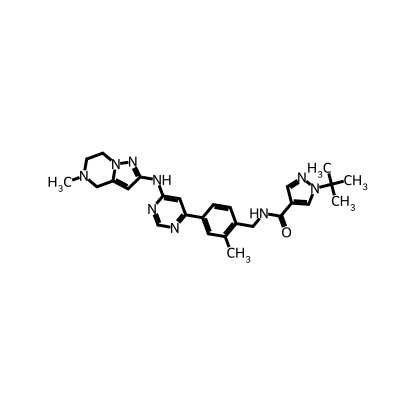 Cc1cc(-c2cc(Nc3cc4n(n3)CCN(C)C4)ncn2)ccc1CNC(=O)c1cnn(C(C)(C)C)c1